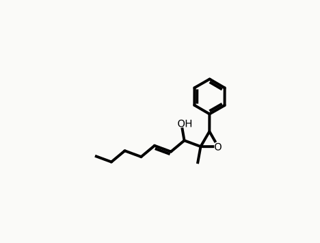 CCCCC=CC(O)C1(C)OC1c1ccccc1